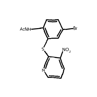 CC(=O)Nc1ccc(Br)cc1Sc1ncccc1[N+](=O)[O-]